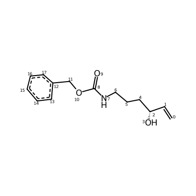 C=C[C@H](O)CCCNC(=O)OCc1ccccc1